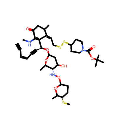 C#C/C=C\C#C[C@H](OC1CC(O)[C@H](NOC2CC[C@H](SC)C(C)O2)C(C)O1)C1=C(NC)C(=O)CC(C)/C1=C/CSSC1CCN(C(=O)OC(C)(C)C)CC1